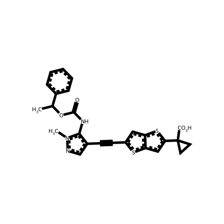 CC(OC(=O)Nc1c(C#Cc2cc3sc(C4(C(=O)O)CC4)cc3s2)cnn1C)c1ccccc1